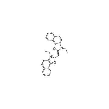 CCN1C(=Cc2oc3c4ccccc4ccc3[n+]2CC)Oc2c1ccc1ccccc21